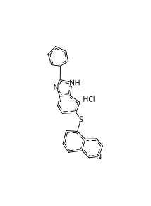 Cl.c1ccc(-c2nc3ccc(Sc4cccc5cnccc45)cc3[nH]2)cc1